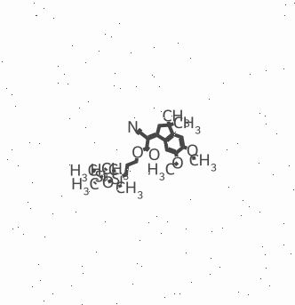 COc1cc2c(cc1OC)C(C)(C)CC2=C(C#N)C(=O)OCCC[Si](C)(C)O[Si](C)(C)C